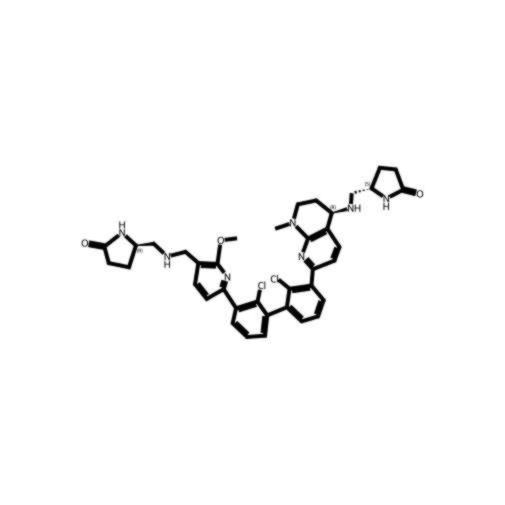 COc1nc(-c2cccc(-c3cccc(-c4ccc5c(n4)N(C)CC[C@H]5NC[C@@H]4CCC(=O)N4)c3Cl)c2Cl)ccc1CNC[C@H]1CCC(=O)N1